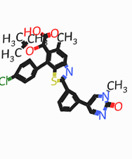 Cc1cc2nc(-c3cccc(-c4cnc(=O)n(C)c4)c3)sc2c(-c2ccc(Cl)cc2)c1C(OC(C)(C)C)C(=O)O